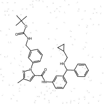 Cc1cc(C(=O)Nc2cccc(C(NCC3CC3)c3ccccc3)c2)n(-c2cccc(CNC(=O)OC(C)(C)C)c2)n1